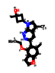 COCOc1c(-c2cc3c(C(F)(F)F)cn(C4CC(C)(O)C4)c3nn2)c(C)cc2occc12